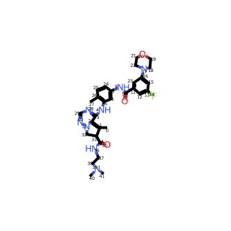 CC1=C2C(Nc3cc(NC(=O)c4cc(F)cc(N5CCOCC5)c4)ccc3C)=NC=NN2CC1C(=O)NCCN(C)C